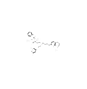 O=C(O)C(CCN(CCCCc1ccc2c(n1)NCCC2)CCOc1cncc(F)c1)Nc1nc2ccccc2s1